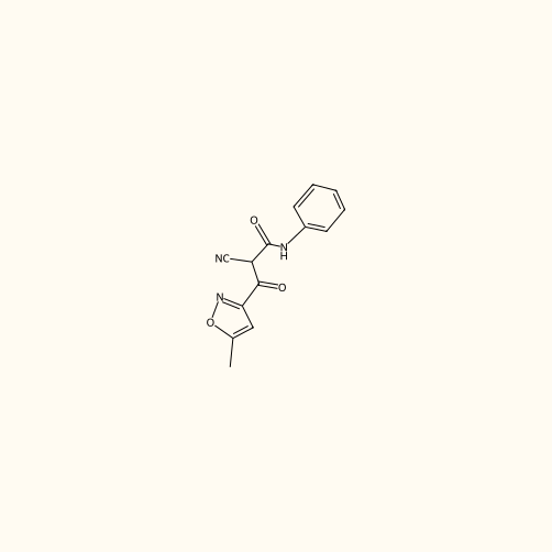 Cc1cc(C(=O)C(C#N)C(=O)Nc2ccccc2)no1